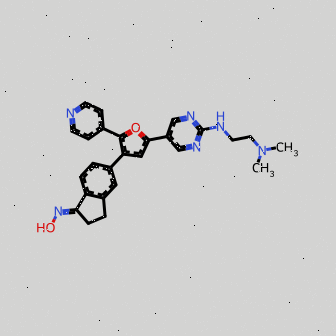 CN(C)CCNc1ncc(-c2cc(-c3ccc4c(c3)CC/C4=N\O)c(-c3ccncc3)o2)cn1